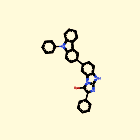 Brc1c(-c2ccccc2)nc2[nH]c3ccc(-c4ccc5c(c4)c4ccccc4n5-c4ccccc4)cc3n12